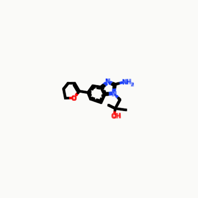 CC(C)(O)Cn1c(N)nc2cc(C3=CCCCO3)ccc21